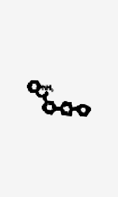 C=C(Cc1ccccc1N)c1cccc(-c2ccc(-c3ccccc3)cc2)c1